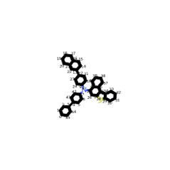 c1ccc(-c2ccc(N(c3ccc(-c4ccc5ccccc5c4)cc3)c3cc4sc5ccccc5c4c4ccccc34)cc2)cc1